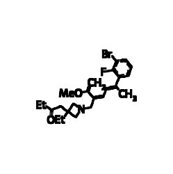 C=C(OC)/C(=C\C=C(/C)c1cccc(Br)c1F)CN1CC(CC)(CC(=O)CC)C1